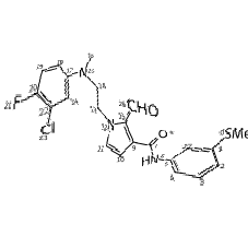 CSc1cccc(NC(=O)c2ccn(CCN(C)c3ccc(F)c(Cl)c3)c2C=O)c1